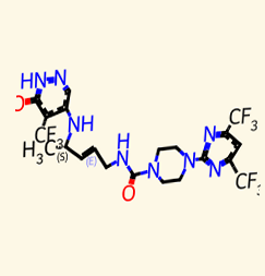 C[C@@H](/C=C/CNC(=O)N1CCN(c2nc(C(F)(F)F)cc(C(F)(F)F)n2)CC1)Nc1cn[nH]c(=O)c1C(F)(F)F